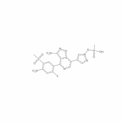 CP(=O)(O)On1cc(-c2cnc(-c3cc(S(C)(=O)=O)c(N)cc3F)c3c(N)noc23)cn1